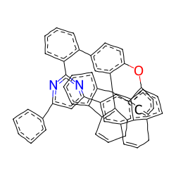 C1=CC2=C(CC1)C1(c3ccccc3Oc3ccc(-c4ccccc4-c4nc(-c5ccccc5)cc(-c5cc6c7c(cccc7c5)CC=C6)n4)cc31)c1ccccc12